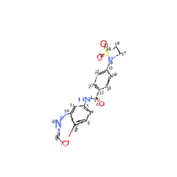 O=C(Nc1ccc2ocnc2c1)c1ccc(N2CCS2(=O)=O)cc1